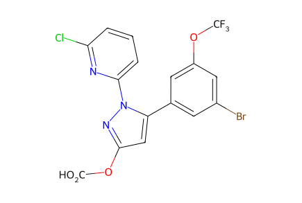 O=C(O)Oc1cc(-c2cc(Br)cc(OC(F)(F)F)c2)n(-c2cccc(Cl)n2)n1